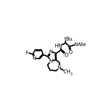 CNC(=O)C(NC(=O)c1nc(-c2ccc(F)nc2)n2c1CN(C)CCC2)C(C)(C)C